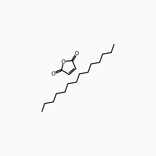 CCCCCCCCCCCCCC.O=C1C=CC(=O)O1